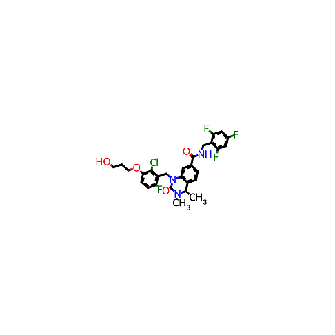 CC1c2ccc(C(=O)NCc3c(F)cc(F)cc3F)cc2N(Cc2c(F)ccc(OCCCO)c2Cl)C(=O)N1C